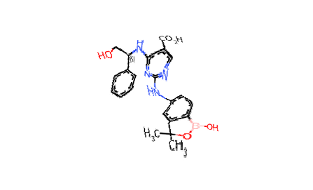 CC1(C)OB(O)c2ccc(Nc3ncc(C(=O)O)c(N[C@H](CO)c4ccccc4)n3)cc21